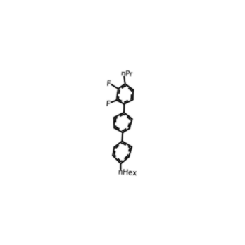 CCCCCCc1ccc(-c2ccc(-c3ccc(CCC)c(F)c3F)cc2)cc1